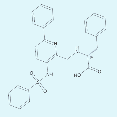 O=C(O)[C@@H](Cc1ccccc1)NCc1nc(-c2ccccc2)ccc1NS(=O)(=O)c1ccccc1